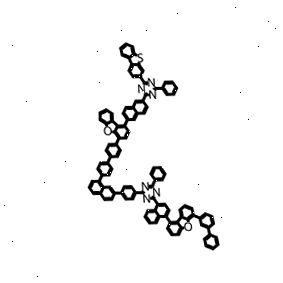 c1ccc(-c2cccc(-c3cccc4c3oc3cccc(-c5ccc(-c6nc(-c7ccccc7)nc(-c7ccc(-c8ccc9cccc(-c%10ccc(-c%11ccc(-c%12ccc(-c%13ccc%14cc(-c%15nc(-c%16ccccc%16)nc(-c%16ccc%17c(c%16)sc%16ccccc%16%17)n%15)ccc%14c%13)c%13c%12oc%12ccccc%12%13)cc%11)cc%10)c9c8)cc7)n6)c6ccccc56)c34)c2)cc1